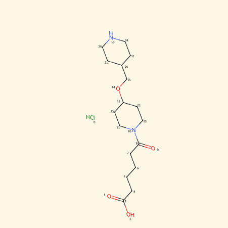 Cl.O=C(O)CCCCC(=O)N1CCC(OCC2CCNCC2)CC1